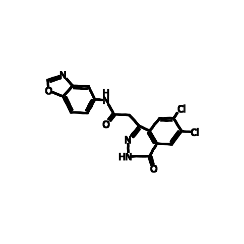 O=C(Cc1n[nH]c(=O)c2cc(Cl)c(Cl)cc12)Nc1ccc2ocnc2c1